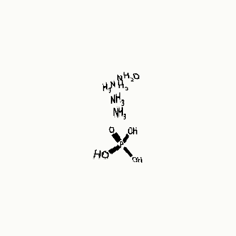 N.N.N.N.O.O=P(O)(O)O